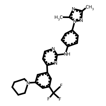 Cc1nc(C)n(-c2ccc(Nc3nccc(-c4cc(N5CCCCC5)cc(C(F)(F)F)c4)n3)cc2)n1